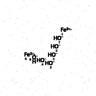 [Fe+3].[Fe+3].[OH-].[OH-].[OH-].[OH-].[OH-].[OH-]